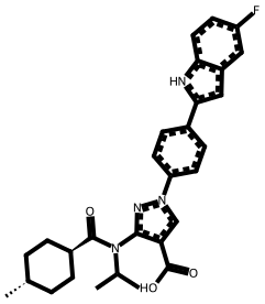 CC(C)N(c1nn(-c2ccc(-c3cc4cc(F)ccc4[nH]3)cc2)cc1C(=O)O)C(=O)[C@H]1CC[C@H](C)CC1